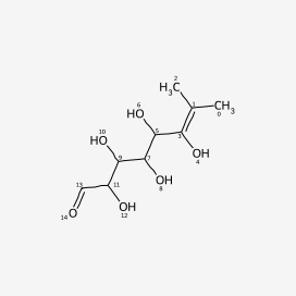 CC(C)=C(O)C(O)C(O)C(O)C(O)C=O